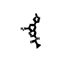 Cn1cc(-c2cc(N)c3nnc(NC(=O)C4CC4)cc3c2)cn1